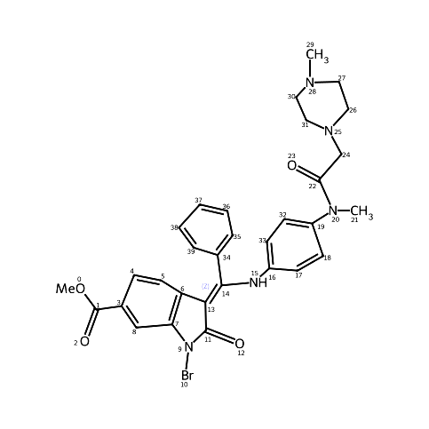 COC(=O)c1ccc2c(c1)N(Br)C(=O)/C2=C(\Nc1ccc(N(C)C(=O)CN2CCN(C)CC2)cc1)c1ccccc1